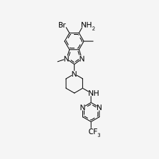 Cc1c(N)c(Br)cc2c1nc(N1CCCC(Nc3ncc(C(F)(F)F)cn3)C1)n2C